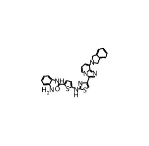 Nc1ccccc1NC(=O)c1ccc(Nc2nc(-c3cnc4c(N5Cc6ccccc6C5)cccn34)cs2)s1